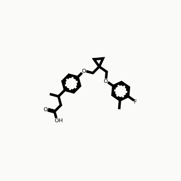 Cc1cc(OCC2(COc3ccc(C(C)CC(=O)O)cc3)CC2)ccc1F